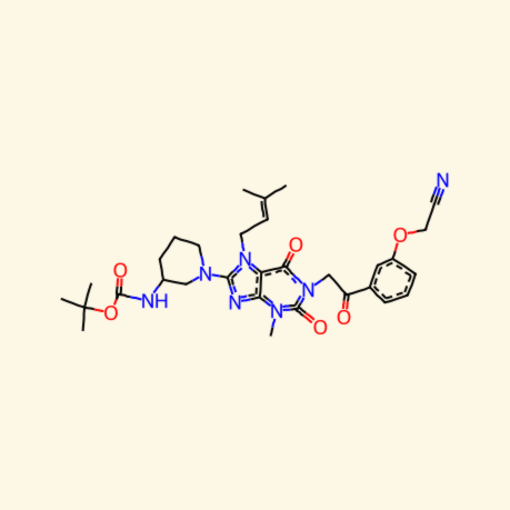 CC(C)=CCn1c(N2CCCC(NC(=O)OC(C)(C)C)C2)nc2c1c(=O)n(CC(=O)c1cccc(OCC#N)c1)c(=O)n2C